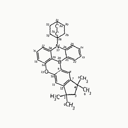 CC1(C)CC(C)(C)c2cc3c(cc21)Oc1cccc2c1B3c1ccccc1N2C12CCC(CC1)CC2